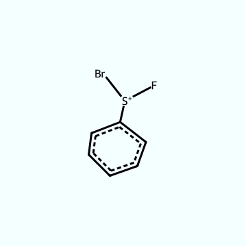 F[S+](Br)c1ccccc1